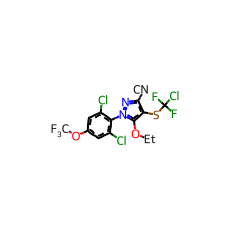 CCOc1c(SC(F)(F)Cl)c(C#N)nn1-c1c(Cl)cc(OC(F)(F)F)cc1Cl